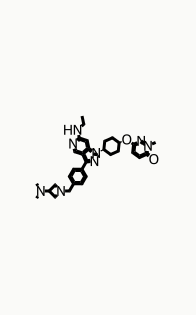 CCNc1cc2c(cn1)c(-c1ccc(CN3CC(N(C)C)C3)cc1)nn2[C@H]1CC[C@@H](Oc2ccc(=O)n(C)n2)CC1